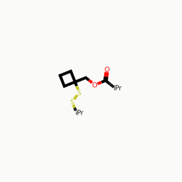 CC(C)SSC1(COC(=O)C(C)C)CCC1